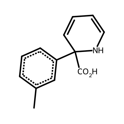 Cc1cccc(C2(C(=O)O)C=CC=CN2)c1